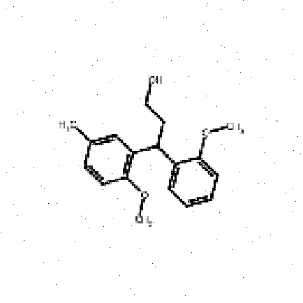 COc1ccccc1C(CCO)c1cc(C)ccc1OC